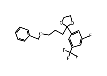 Fc1cc(C(F)(F)F)cc(C2(CCCOCc3ccccc3)OCCO2)c1